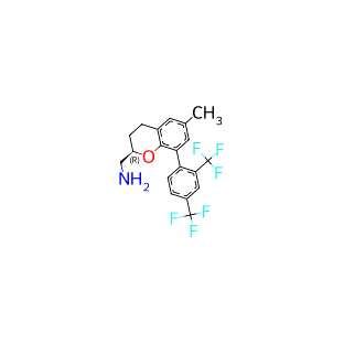 Cc1cc2c(c(-c3ccc(C(F)(F)F)cc3C(F)(F)F)c1)O[C@@H](CN)CC2